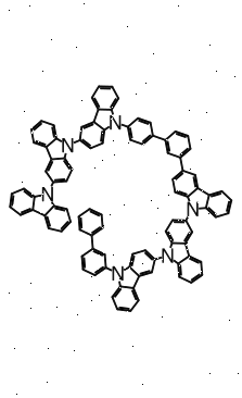 c1ccc(-c2cccc(-n3c4ccccc4c4cc(-n5c6ccccc6c6cc(-n7c8ccccc8c8cc(-c9cccc(-c%10ccc(-n%11c%12ccccc%12c%12cc(-n%13c%14ccccc%14c%14cc(-n%15c%16ccccc%16c%16ccccc%16%15)ccc%14%13)ccc%12%11)cc%10)c9)ccc87)ccc65)ccc43)c2)cc1